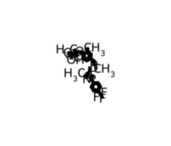 Cc1cc(CN(C)Cc2sc(-c3ccc(C(F)(F)F)cc3)nc2C)ccc1OC(C)(C)C(=O)O